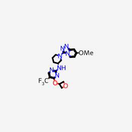 COc1ccn2c(N3CCC[C@@H](Nc4ncc(C(F)(F)F)c(OC5COC5)n4)C3)nnc2c1